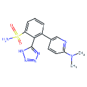 CN(C)c1ccc(-c2cccc(S(N)(=O)=O)c2-c2nnn[nH]2)cn1